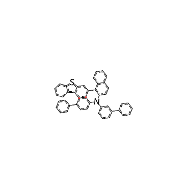 c1ccc(-c2ccc(N(c3cccc(-c4ccccc4)c3)c3ccc4ccccc4c3-c3ccc4c(c3)sc3ccccc34)cc2)cc1